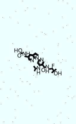 CC(C)Nc1cc(-n2ccc3cc(CNC(=O)O)cnc32)ncc1C(=O)NCC(F)C(C)(C)O